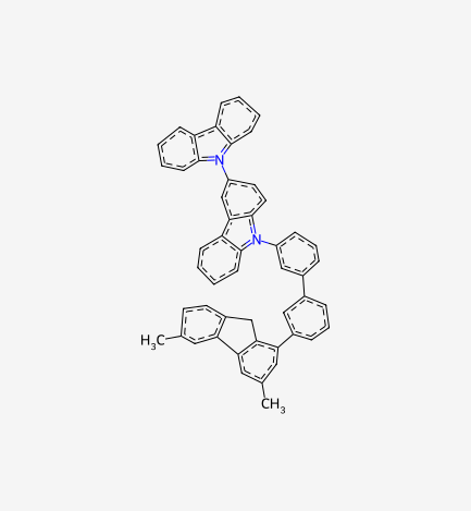 Cc1ccc2c(c1)-c1cc(C)cc(-c3cccc(-c4cccc(-n5c6ccccc6c6cc(-n7c8ccccc8c8ccccc87)ccc65)c4)c3)c1C2